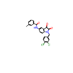 Cc1cccc(C(=O)Nc2ccc3c(c2)C(=O)C(=O)N3Cc2ccc(Cl)c(Cl)c2)c1